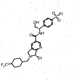 CC[C@@H]1c2ncc(C(=O)N[C@@H](CO)c3ccc(S(=O)(=O)CC)cc3)cc2CN1CC1CCC(C(F)(F)F)CC1